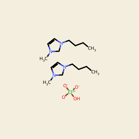 CCCCN1C=CN(C)C1.CCCCN1C=CN(C)C1.[O-][Cl+3]([O-])([O-])O